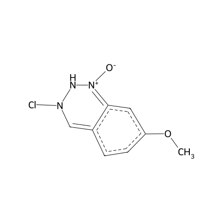 COc1ccc2c(c1)=[N+]([O-])NN(Cl)C=2